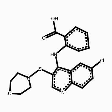 O=C(O)c1ccccc1Nc1c(SN2CCOCC2)cnc2ccc(Cl)cc12